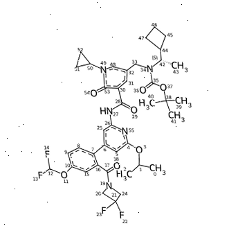 CC(C)Oc1cc(-c2ccc(OC(F)F)cc2C(=O)N2CC(F)(F)C2)cc(NC(=O)c2cc(CN(C(=O)OC(C)(C)C)[C@@H](C)C3CCC3)cn(C3CC3)c2=O)n1